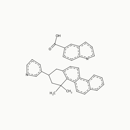 CC1(C)CC(c2cccnc2)Cc2ccc3c(ccc4ccccc43)c21.O=C(O)c1ccc2ncccc2c1